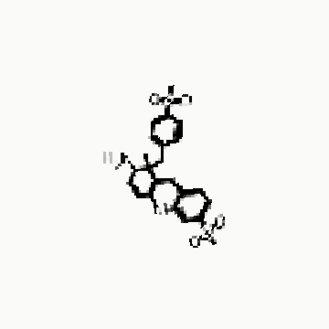 CC1(Cc2ccc(S(C)(=O)=O)cc2)C(Cc2ccc(S(C)(=O)=O)cc2)=C(N)C=CC1N